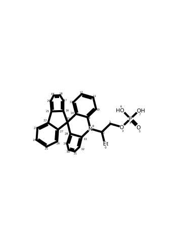 CCC(COP(=O)(O)O)N1c2ccccc2C2(c3ccccc3-c3ccccc32)c2ccccc21